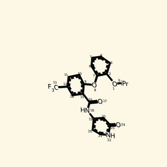 CC(C)Oc1ccccc1Oc1ccc(C(F)(F)F)cc1C(=O)Nc1cc[nH]c(=O)c1